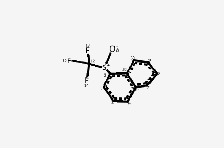 [O-][S+](c1c[c]cc2ccccc12)C(F)(F)F